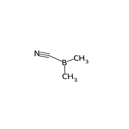 CB(C)C#N